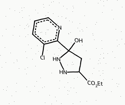 CCOC(=O)C1CC(O)(c2ncccc2Cl)NN1